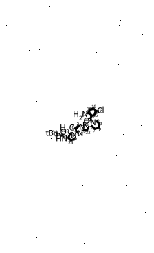 Cc1cn2nc([C@@H]3CCCCN3C(=O)c3cc(Cl)ccc3N)cc2nc1N1CC[C@H](NC(=O)OC(C)(C)C)C1